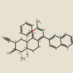 Cc1nc(-c2ccc3ncccc3c2)c2c(n1)[C@]1(c3ccccc3)CC(C#N)C(=O)[C@@H](C)[C@@H]1CC2